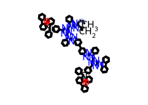 C=Cc1nc2n(-c3nc(-c4ccc([Si](c5ccccc5)(c5ccccc5)c5cccc6c5oc5ccccc56)cc4)nc(-n4c5ccccc5n5c6cc(-c7ccc8nc9n(-c%10nc(-c%11ccc([Si](c%12ccccc%12)(c%12ccccc%12)c%12cccc%13c%12oc%12ccccc%12%13)cc%11)nc(-n%11c%12ccccc%12c%12ccccc%12%11)n%10)c%10ccccc%10n9c8c7)ccc6nc45)n3)c3ccccc3n2c1/C=C\C